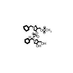 CS(=O)(=O)OCC1CN(Cc2ccccc2)CC1OS(C)(=O)=O.OCC1CN(Cc2ccccc2)CC1O